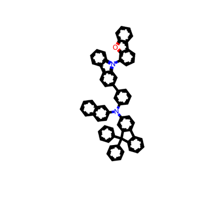 c1ccc(C2(c3ccccc3)c3ccccc3-c3ccc(N(c4cccc(-c5ccc6c7ccccc7n(-c7cccc8c7oc7ccccc78)c6c5)c4)c4ccc5ccccc5c4)cc32)cc1